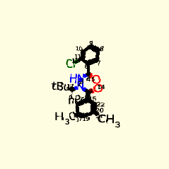 CCC[C@@H](N(NC(=O)c1ccccc1Cl)C(=O)c1cc(C)cc(C)c1)C(C)(C)C